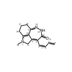 C=C/C=C\C1=C2CN(C)C3=C2C(=NNC1=O)CCC3